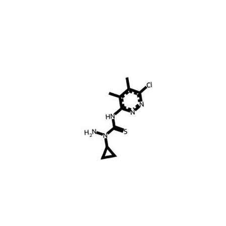 Cc1c(Cl)nnc(NC(=S)N(N)C2CC2)c1C